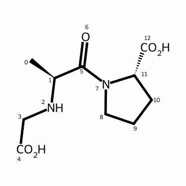 C[C@H](NCC(=O)O)C(=O)N1CCC[C@H]1C(=O)O